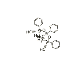 C#C[Si](C)(O[Si](C)(O[Si](C)(C#C)c1ccccc1)c1ccccc1)c1ccccc1